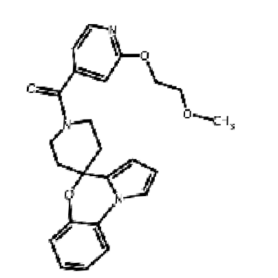 COCCOc1cc(C(=O)N2CCC3(CC2)Oc2ccccc2-n2cccc23)ccn1